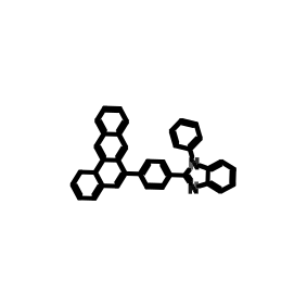 C1=CCC2C(=C1)C=C(c1ccc(-c3nc4ccccc4n3-c3ccccc3)cc1)c1cc3ccccc3cc12